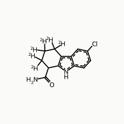 [2H]C1([2H])c2c([nH]c3ccc(Cl)cc23)C(C(N)=O)C([2H])([2H])C1([2H])[2H]